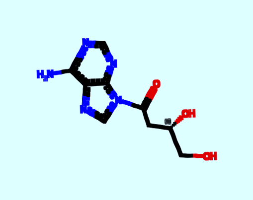 Nc1ncnc2c1ncn2C(=O)C[C@H](O)CO